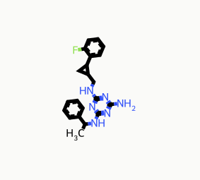 CC(Nc1nc(N)nc(NCC2CC2c2ccccc2F)n1)c1ccccc1